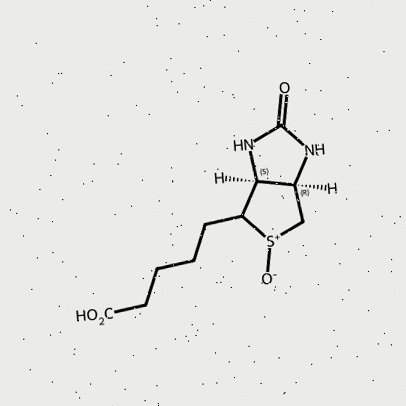 O=C(O)CCCCC1[C@H]2NC(=O)N[C@H]2C[S+]1[O-]